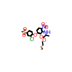 CSCCOC(=O)C(C)Nc1cc(Oc2ccc(S(C)(=O)=O)cc2Cl)ccc1[N+](=O)[O-]